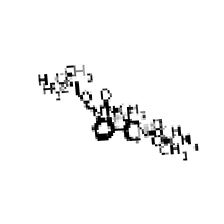 Cn1c(=O)n(COCC[Si](C)(C)C)c2cccc(C3CCN(C(=O)OC(C)(C)C)CC3(F)F)c21